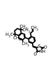 C=CCc1ccc(/C=C2\SC(=O)NC2=O)cc1-c1cc2c(cc1C)C(C)(C)CCC2(C)C